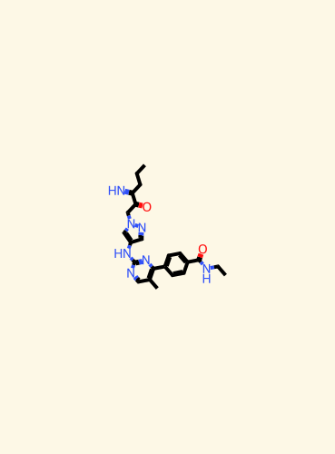 CCCC(=N)C(=O)Cn1cc(Nc2ncc(C)c(-c3ccc(C(=O)NCC)cc3)n2)cn1